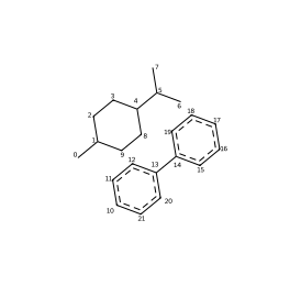 CC1CCC(C(C)C)CC1.c1ccc(-c2ccccc2)cc1